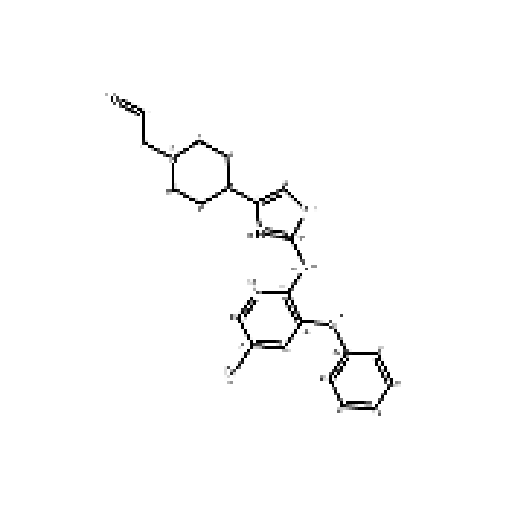 O=CCN1CCC(c2csc(Nc3ncc(Br)cc3Sc3ccccc3)n2)CC1